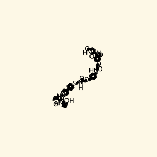 Cn1nc(C2CCC(=O)NC2=O)c2ccc(OCC(=O)NCc3ccc(COCC(=O)NCCSc4ccc(C5CCN(c6nc7c(c(NC8(CO)CCC8)n6)[S@+]([O-])CC7)CC5)cc4)cc3)cc21